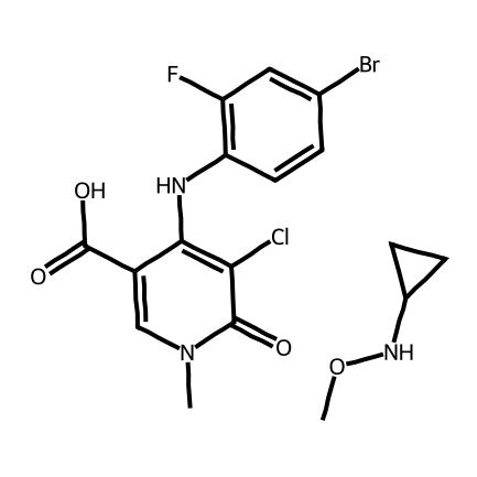 CONC1CC1.Cn1cc(C(=O)O)c(Nc2ccc(Br)cc2F)c(Cl)c1=O